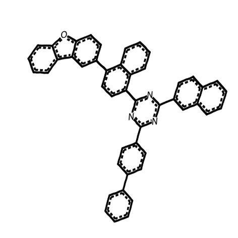 c1ccc(-c2ccc(-c3nc(-c4ccc5ccccc5c4)nc(-c4ccc(-c5ccc6oc7ccccc7c6c5)c5ccccc45)n3)cc2)cc1